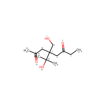 CCC(=O)CC(CO)(CC(C)=O)C(C)(C)O